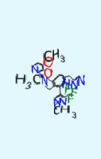 CCn1cc(-c2cc(Cc3cnc[nH]3)cc3c2CCN([C@@H](C)c2cc(OC)ccn2)C3=O)c(C(F)(F)F)n1